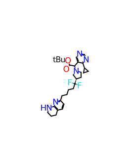 CC(C)(C)OC(=O)C(c1cncnc1C1CC1)N1CC[C@@H](C(F)(F)CCCCc2ccc3c(n2)NCCC3)C1